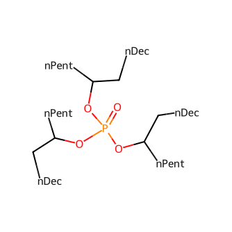 CCCCCCCCCCCC(CCCCC)OP(=O)(OC(CCCCC)CCCCCCCCCCC)OC(CCCCC)CCCCCCCCCCC